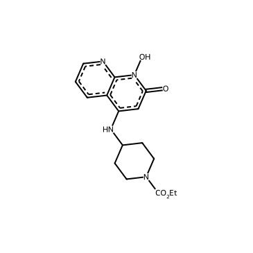 CCOC(=O)N1CCC(Nc2cc(=O)n(O)c3ncccc23)CC1